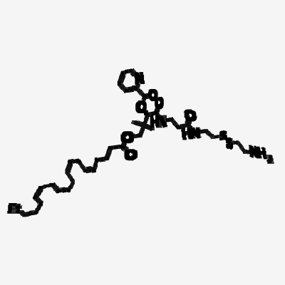 CC/C=C\C/C=C\C/C=C\C/C=C\C/C=C\CCCC(=O)OCC(C)(C)[C@@H](OC(=O)c1ccccn1)C(=O)NCCC(=O)NCCSSCCN